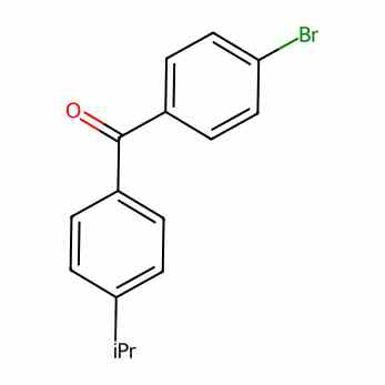 CC(C)c1ccc(C(=O)c2ccc(Br)cc2)cc1